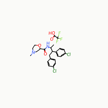 CC(NC(=O)C1CN(C)CCO1)C(Cc1ccc(Cl)cc1)c1ccc(Cl)cc1.O=C(O)C(F)(F)F